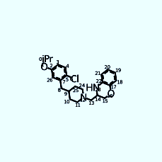 CC(C)Oc1ccc(Cl)c(CC2CCN(CC3COc4ccccc4N3)CC2)c1